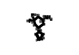 N[C@@H]1C[C@H](n2cnnc2)CC(F)(F)C1